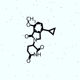 COc1ccc(C2CC2)c2c1C(=O)N(C1CCC(=O)NC1=O)C2